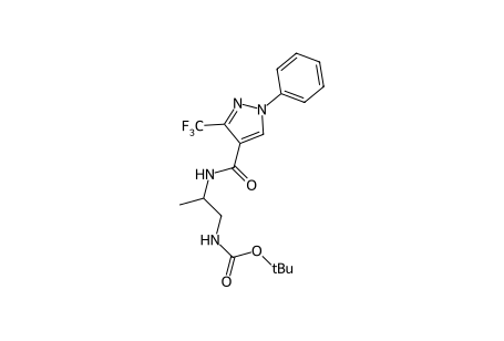 CC(CNC(=O)OC(C)(C)C)NC(=O)c1cn(-c2ccccc2)nc1C(F)(F)F